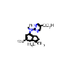 CC(C)CN(c1ncc(C(=O)O)cn1)c1cc(C(C)(C)C)cc2c1CCC2(C)C